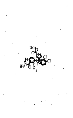 Cc1c(N[C@@]2(c3c(F)ccc(Cl)c3Cl)CCN(C(=O)OC(C)(C)C)C2)ccc2ncn(C(C)C)c(=O)c12